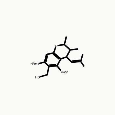 CCCCCc1cc2c(c(OC)c1CO)C(C=C(C)C)C(C)C(C)O2